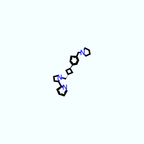 c1ccc(C2CCCN2C[C@H]2C[C@H](c3ccc(CN4CCCC4)cc3)C2)nc1